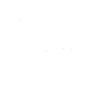 O=C(O)N1CCC(Oc2cccc3ccc(-c4nnc5ccccn45)nc23)CC1